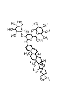 C[C@@H]1O[C@@H](O[C@H]2[C@H](O)[C@@H](O[C@@H]3O[C@H](CO)[C@@H](O)[C@H](O)[C@H]3O)[C@H](O[C@H]3CC[C@@]4(C)C(=CC[C@@H]5C4CC[C@@]4(C)C5C[C@@H]5O[C@]6(CC[C@@](C)(CO)O6)[C@@H](C)[C@@H]54)C3)O[C@@H]2CO)[C@H](O)[C@H](O)[C@H]1O